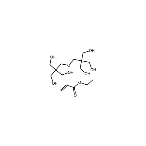 C=CC(=O)OCC.OCC(CO)(CO)COCC(CO)(CO)CO